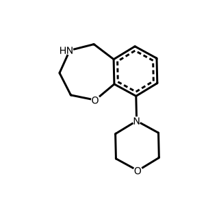 c1cc2c(c(N3CCOCC3)c1)OCCNC2